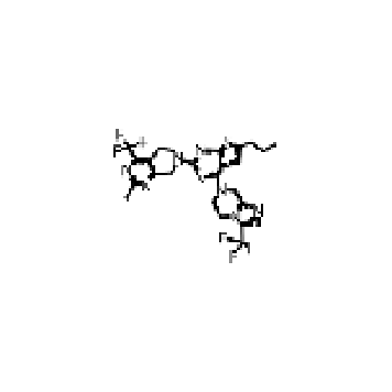 CCCc1cc2c(N3CCn4c(nnc4C(F)(F)F)C3)nc(N3CCc4c(nc(C)nc4C(F)(F)F)C3)nc2s1